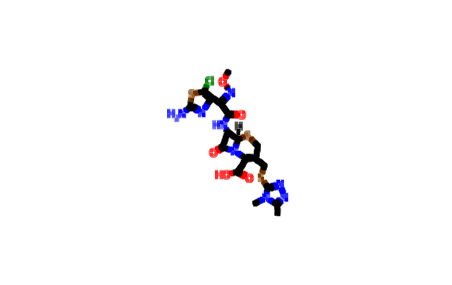 CO/N=C(/C(=O)NC1C(=O)N2C(C(=O)O)=C(CSc3nnc(C)n3C)CS[C@H]12)c1nc(N)sc1Cl